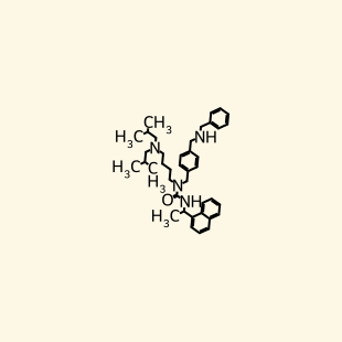 CC(C)CN(CCCCN(Cc1ccc(CNCc2ccccc2)cc1)C(=O)NC(C)c1cccc2ccccc12)CC(C)C